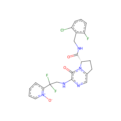 O=C(NCc1c(F)cccc1Cl)[C@@H]1CCc2cnc(NCC(F)(F)c3cccc[n+]3[O-])c(=O)n21